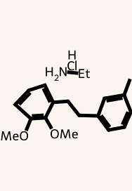 CCN.COc1cccc(CCc2cccc(C)c2)c1OC.Cl